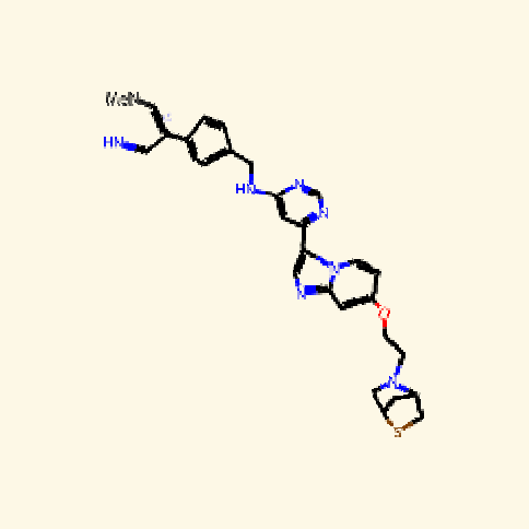 CN/C=C(\C=N)c1ccc(CNc2cc(-c3cnc4cc(OCCN5CC6CC5CS6)ccn34)ncn2)cc1